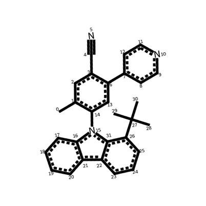 Cc1cc(C#N)c(-c2ccncc2)cc1-n1c2ccccc2c2cccc(C(C)(C)C)c21